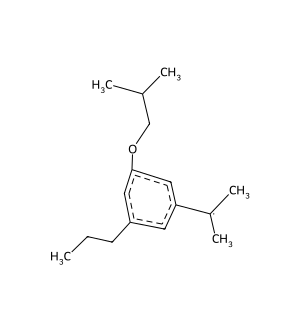 CCCc1cc(OCC(C)C)cc([C](C)C)c1